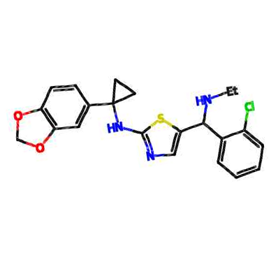 CCNC(c1cnc(NC2(c3ccc4c(c3)OCO4)CC2)s1)c1ccccc1Cl